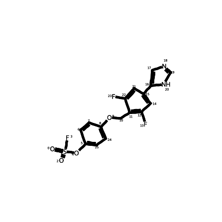 O=S(=O)(F)Oc1ccc(OCc2c(F)cc(-c3cnc[nH]3)cc2F)cc1